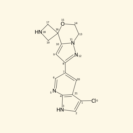 Clc1c[nH]c2ncc(-c3cc4n(n3)CCOC43CNC3)cc12